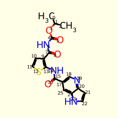 CC(C)OC(=O)NC(=O)c1ccsc1NC(=O)c1cnc2cc[nH]c2c1